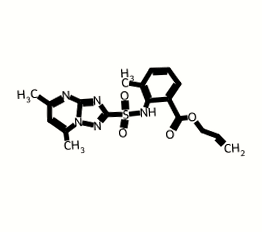 C=CCOC(=O)c1cccc(C)c1NS(=O)(=O)c1nc2nc(C)cc(C)n2n1